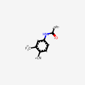 CC[CH]C(=O)Nc1ccc(C#N)c(C(F)(F)F)c1